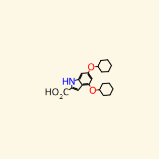 O=C(O)c1cc2c(OC3CCCCC3)cc(OC3CCCCC3)cc2[nH]1